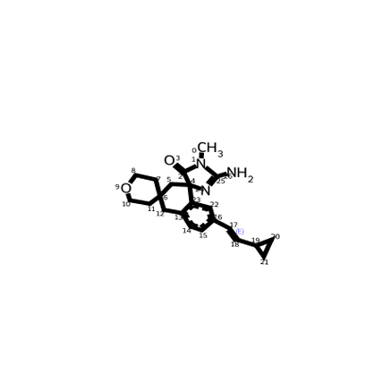 CN1C(=O)C2(CC3(CCOCC3)Cc3ccc(/C=C/C4CC4)cc32)N=C1N